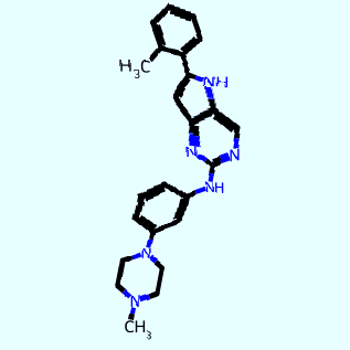 Cc1ccccc1-c1cc2nc(Nc3cccc(N4CCN(C)CC4)c3)ncc2[nH]1